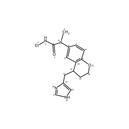 CCNC(=O)N(C)c1ccc2c(c1)C(Cc1c[nH]cn1)CCO2